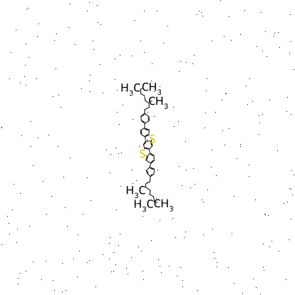 CC(C)CCCC(C)CCc1ccc(-c2ccc3c(c2)sc2cc4c(cc23)sc2cc(-c3ccc(CCC(C)CCCC(C)C)cc3)ccc24)cc1